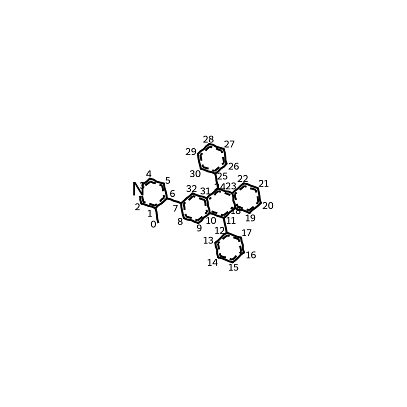 Cc1cnccc1-c1ccc2c(-c3ccccc3)c3ccccc3c(-c3ccccc3)c2c1